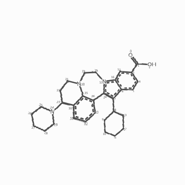 O=C(O)c1ccc2c(C3CCCCC3)c3n(c2c1)CCN1CCC(N2CCCCC2)c2cccc-3c21